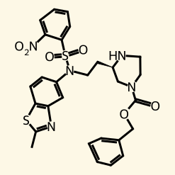 Cc1nc2cc(N(CC[C@@H]3CN(C(=O)OCc4ccccc4)CCN3)S(=O)(=O)c3ccccc3[N+](=O)[O-])ccc2s1